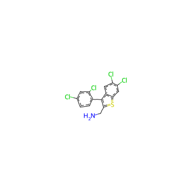 NCc1sc2cc(Cl)c(Cl)cc2c1-c1ccc(Cl)cc1Cl